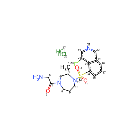 C[C@H]1CN(C(=O)CN)CCCN1S(=O)(=O)c1cccc2cncc(F)c12.Cl.Cl